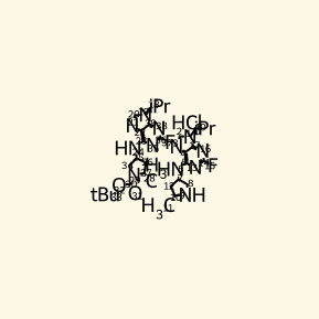 CC(C)n1cnc2c(N[C@@H]3CN[C@@H](C)C3)nc(F)nc21.CC(C)n1cnc2c(N[C@H]3C[C@H](C)N(C(=O)OC(C)(C)C)C3)nc(F)nc21.Cl